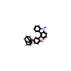 Cn1c2ccccc2c2c3c(ccc21)oc1ccc(C24CC5CC(CC(C5)C2)C4)cc13